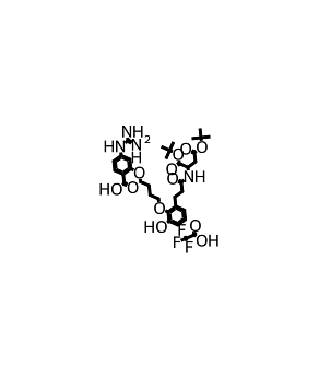 CC(C)(C)OC(=O)CC(NC(=O)CCc1cccc(O)c1OCCCCOc1cc(NC(=N)N)ccc1C(=O)O)C(=O)OC(C)(C)C.O=C(O)C(F)(F)F